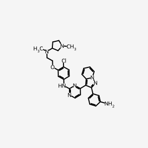 CN1CCC(N(C)CCOc2cc(Nc3nccc(-c4c(-c5cccc(N)c5)nn5ccccc45)n3)ccc2Cl)C1